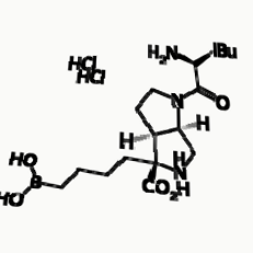 CC[C@H](C)[C@H](N)C(=O)N1CC[C@H]2[C@@H]1CN[C@@]2(CCCCB(O)O)C(=O)O.Cl.Cl